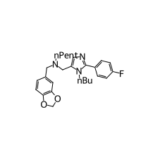 CCCCCN(Cc1ccc2c(c1)OCO2)Cc1cnc(-c2ccc(F)cc2)n1CCCC